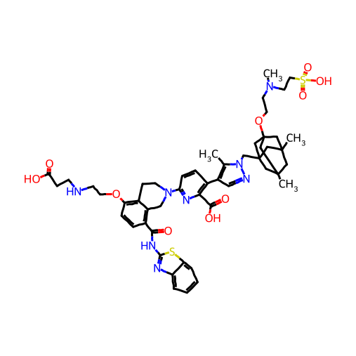 Cc1c(-c2ccc(N3CCc4c(OCCNCCC(=O)O)ccc(C(=O)Nc5nc6ccccc6s5)c4C3)nc2C(=O)O)cnn1CC12CC3(C)CC(C)(C1)CC(OCCN(C)CCS(=O)(=O)O)(C3)C2